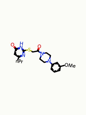 CCCc1cc(=O)[nH]c(SCC(=O)N2CCN(c3cccc(OC)c3)CC2)n1